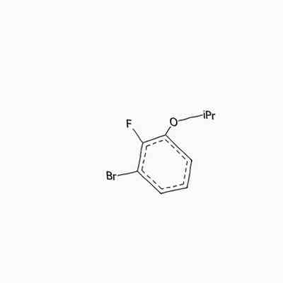 CC(C)Oc1cccc(Br)c1F